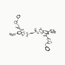 CSc1cc(C(=O)NCC2CCCN2Cc2ccccc2)c2c(c1)N(C)C[C@@H](OC(=O)/C=C/C(=O)O[C@@H]1CN(C)c3cc(SC)cc(C(=O)NCC4CCCN4Cc4ccccc4)c3O1)O2